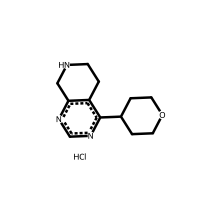 Cl.c1nc2c(c(C3CCOCC3)n1)CCNC2